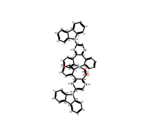 c1ccc2c(c1)-c1ncc(-n3c4ccccc4c4ccccc43)nc1-c1ccccc1[Si]21c2ccccc2-c2ncc(-n3c4ccccc4c4ccccc43)nc2-c2ccccc21